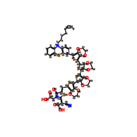 CCCCCCN1c2ccccc2Sc2cc(-c3sc(-c4sc(-c5sc(-c6sc(/C=c7\s/c(=C(\C#N)C(=O)O)n(CC(=O)O)c7=O)c7c6OCCO7)c6c5OCCO6)c5c4OCCO5)c4c3OCCO4)ccc21